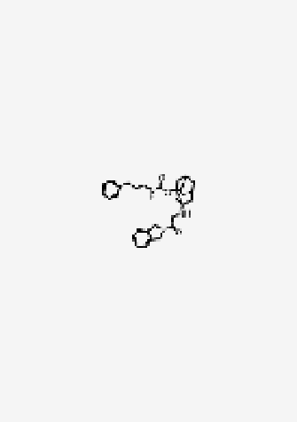 O=C(NCCCc1ccccc1)OC12CC3CC(CC(NCC(=O)N4Cc5ccccc5C4)(C3)C1)C2